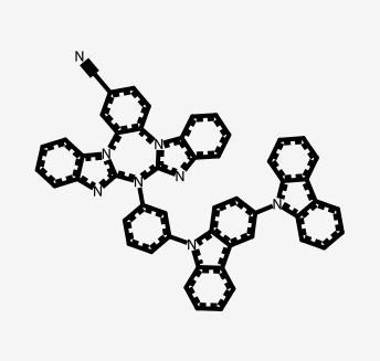 N#Cc1ccc2c(c1)n1c3ccccc3nc1n(-c1cccc(-n3c4ccccc4c4cc(-n5c6ccccc6c6ccccc65)ccc43)c1)c1nc3ccccc3n21